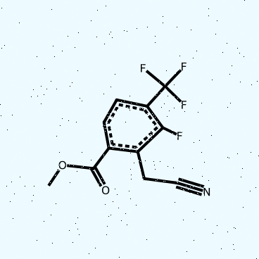 COC(=O)c1ccc(C(F)(F)F)c(F)c1CC#N